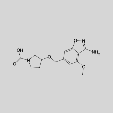 COc1cc(COC2CCN(C(=O)O)C2)cc2onc(N)c12